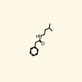 CC(C)CCNC(=O)Cc1ccccc1